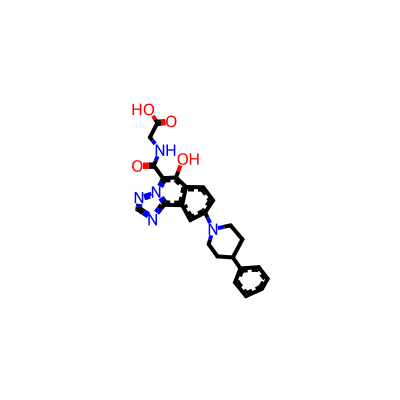 O=C(O)CNC(=O)c1c(O)c2ccc(N3CCC(c4ccccc4)CC3)cc2c2ncnn12